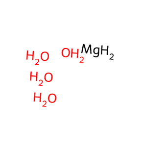 O.O.O.O.[MgH2]